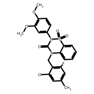 COc1ccc(N2C(=O)N(Cc3c(F)cc(C)cc3Cl)c3ccccc3S2(=O)=O)cc1OC